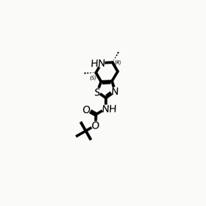 C[C@@H]1Cc2nc(NC(=O)OC(C)(C)C)sc2[C@H](C)N1